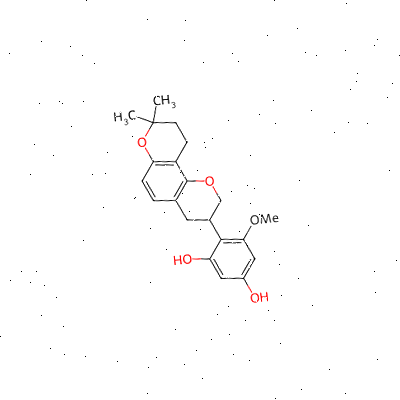 COc1cc(O)cc(O)c1C1COc2c(ccc3c2CCC(C)(C)O3)C1